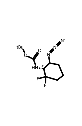 CC(C)(C)OC(=O)N[C@@H]1C(N=[N+]=[N-])CCCC1(F)F